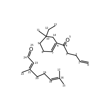 C=CCCC(=O)C1=CCCC(C)(CC)C1.CC(C)=CCCC(C)=CC=O